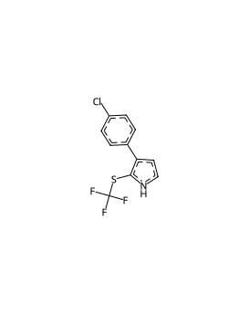 FC(F)(F)Sc1[nH]ccc1-c1ccc(Cl)cc1